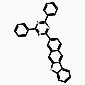 c1ccc(-c2nc(-c3ccccc3)nc(-c3ccc4cc5c(cc4c3)sc3ccccc35)n2)cc1